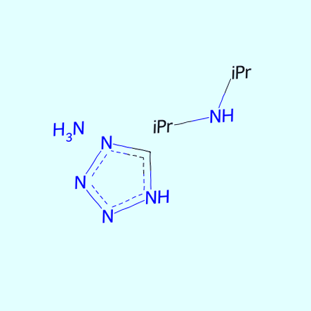 CC(C)NC(C)C.N.c1nnn[nH]1